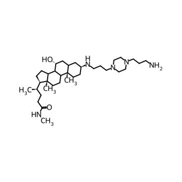 CNC(=O)CC[C@@H](C)[C@H]1CCC2C3C(CC[C@@]21C)[C@@]1(C)CC[C@H](NCCCN2CCN(CCCN)CC2)CC1C[C@H]3O